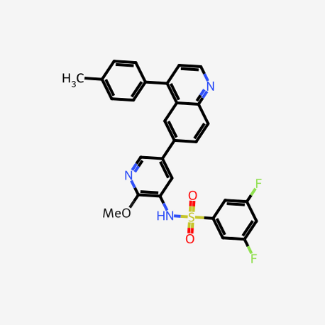 COc1ncc(-c2ccc3nccc(-c4ccc(C)cc4)c3c2)cc1NS(=O)(=O)c1cc(F)cc(F)c1